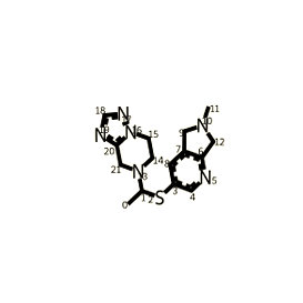 CC(Sc1cnc2c(c1)CN(C)C2)N1CCn2ncnc2C1